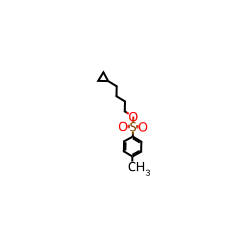 Cc1ccc(S(=O)(=O)OCCCCC2CC2)cc1